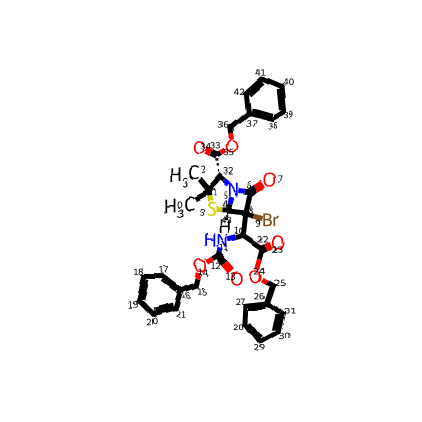 CC1(C)S[C@H]2N(C(=O)C2(Br)C(NC(=O)OCc2ccccc2)C(=O)OCc2ccccc2)[C@H]1C(=O)OCc1ccccc1